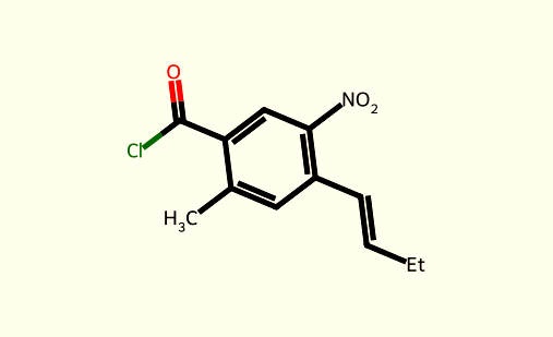 CCC=Cc1cc(C)c(C(=O)Cl)cc1[N+](=O)[O-]